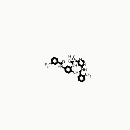 Cc1ccc(NC(=O)c2cccc(C(F)(F)F)c2)cc1NC(=O)N(C)c1cc(NCc2ccccc2C(F)(F)F)ncn1